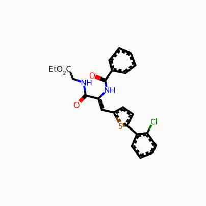 CCOC(=O)CNC(=O)C(=Cc1ccc(-c2ccccc2Cl)s1)NC(=O)c1ccccc1